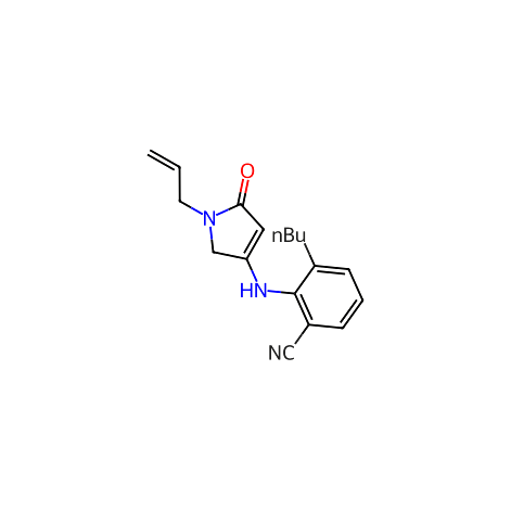 C=CCN1CC(Nc2c(C#N)cccc2CCCC)=CC1=O